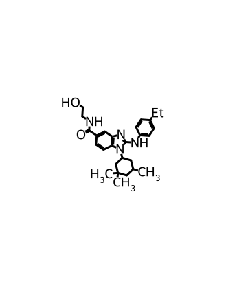 CCc1ccc(Nc2nc3cc(C(=O)NCCO)ccc3n2C2CC(C)CC(C)(C)C2)cc1